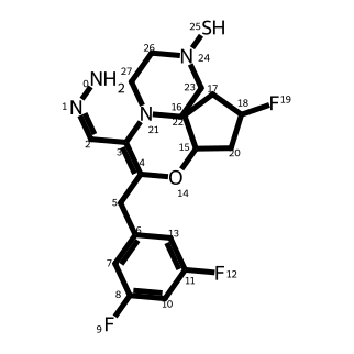 N/N=C\C(=C(/Cc1cc(F)cc(F)c1)OC1CCC(F)C1)N1CCN(S)CC1